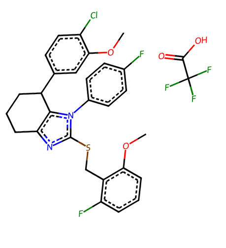 COc1cc(C2CCCc3nc(SCc4c(F)cccc4OC)n(-c4ccc(F)cc4)c32)ccc1Cl.O=C(O)C(F)(F)F